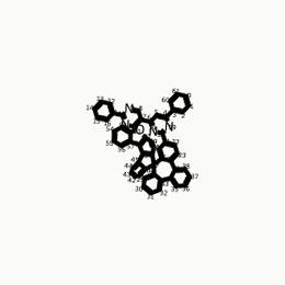 c1ccc(-c2cc(-c3cnc(-c4ccccc4)nc3)nc(-c3ccc4c(c3)C3(c5ccccc5-c5ccccc5-4)c4ccccc4-c4c3ccc3oc5ccccc5c43)n2)cc1